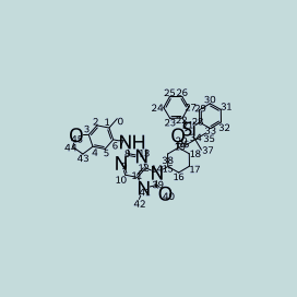 Cc1cc2c(cc1Nc1ncc3c(n1)n(C1CCCC(O[Si](c4ccccc4)(c4ccccc4)C(C)(C)C)C1)c(=O)n3C)CCO2